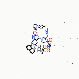 Cc1cccc2cccc(N3CCc4c(nc(OC[C@@H]5CCCN5C)nc4N4CCN(C(=O)[C@H]5CN5S(C)(=O)=O)[C@@H](CC#N)C4)C3)c12